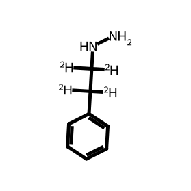 [2H]C([2H])(NN)C([2H])([2H])c1ccccc1